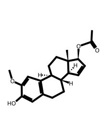 COc1cc2c(cc1O)CC[C@@H]1[C@@H]2CC[C@]2(C)[C@@H](OC(C)=O)C=C[C@@H]12